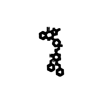 Cc1cc2c(s1)Nc1ccccc1N=C2N1CC[N+](C)(COC(=O)N[C@@H](Cc2ccccc2)C(=O)OCc2ccccc2)CC1